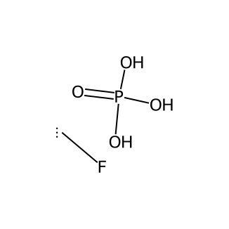 O=P(O)(O)O.[C]F